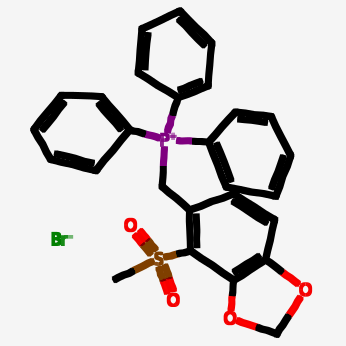 CS(=O)(=O)c1c(C[P+](c2ccccc2)(c2ccccc2)c2ccccc2)ccc2c1OCO2.[Br-]